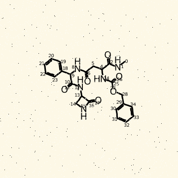 CNC(=O)C(CC(=O)NC(C(=O)NC1CNC1=O)c1ccccc1)NC(=O)OCc1ccccc1